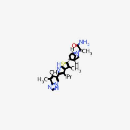 Cc1c(-c2[nH]c3sc([C@@H]4C[C@@H]5C[C@H]4CN5[C@@H](C)C(N)=O)c(C)c3c2C(C)C)cn2ncnc2c1C